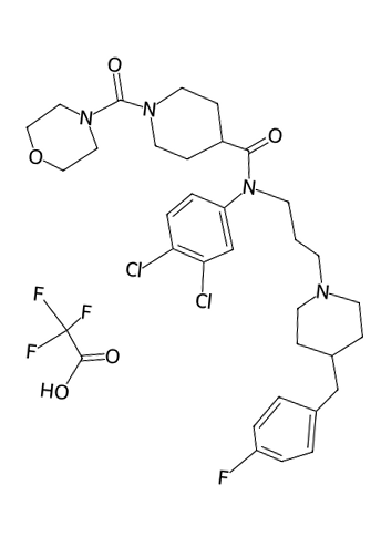 O=C(N1CCOCC1)N1CCC(C(=O)N(CCCN2CCC(Cc3ccc(F)cc3)CC2)c2ccc(Cl)c(Cl)c2)CC1.O=C(O)C(F)(F)F